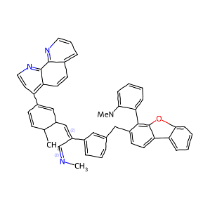 C/N=C\C(=C/C1C=C(c2ccnc3c2ccc2cccnc23)C=CC1C)c1cccc(Cc2ccc3c(oc4ccccc43)c2-c2ccccc2NC)c1